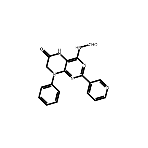 O=[C]Nc1nc(-c2cccnc2)nc2c1NC(=O)CN2c1ccccc1